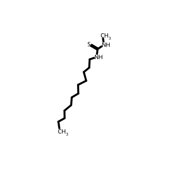 CCCCCCCCCCCCNC(=S)NC